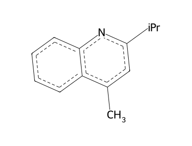 Cc1cc(C(C)C)nc2ccccc12